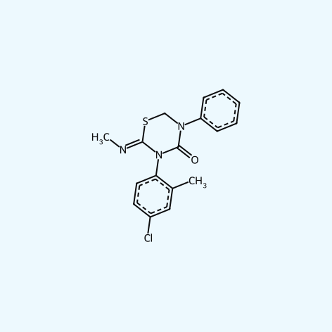 CN=C1SCN(c2ccccc2)C(=O)N1c1ccc(Cl)cc1C